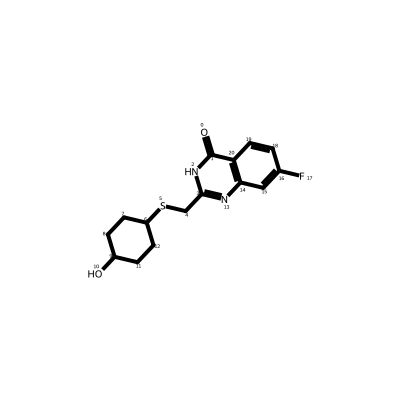 O=c1[nH]c(CSC2CCC(O)CC2)nc2cc(F)ccc12